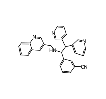 N#Cc1cccc(C(NCc2cnc3ccccc3c2)C(c2cccnc2)c2cccnc2)c1